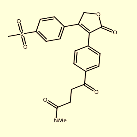 CNC(=O)CCC(=O)c1ccc(C2=C(c3ccc(S(C)(=O)=O)cc3)COC2=O)cc1